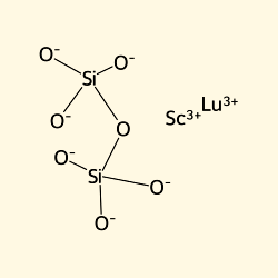 [Lu+3].[O-][Si]([O-])([O-])O[Si]([O-])([O-])[O-].[Sc+3]